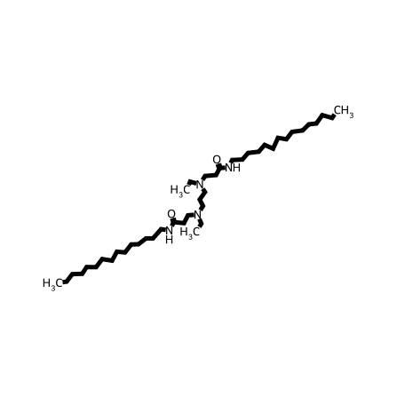 CCCCCCCCCCCCCCCNC(=O)CCN(CC)CCCN(CC)CCC(=O)NCCCCCCCCCCCCCCC